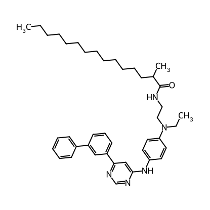 CCCCCCCCCCCCCC(C)C(=O)NCCN(CC)c1ccc(Nc2cc(-c3cccc(-c4ccccc4)c3)ncn2)cc1